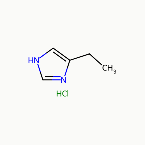 CCc1c[nH]cn1.Cl